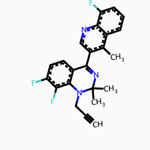 C#CCN1c2c(ccc(F)c2F)C(c2cnc3c(F)cccc3c2C)=NC1(C)C